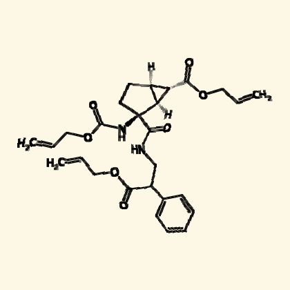 C=CCOC(=O)N[C@@]1(C(=O)NCC(C(=O)OCC=C)c2ccccc2)CC[C@H]2[C@H](C(=O)OCC=C)[C@H]21